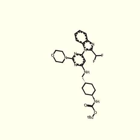 CC(C)(C)OC(=O)N[C@H]1CC[C@H](CNc2cc(-n3c(C(F)F)nc4ccccc43)nc(N3CCOCC3)n2)CC1